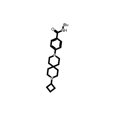 CCC(C)NC(=O)c1ccc(N2CCC3(CC2)CCN(C2CCC2)CC3)cc1